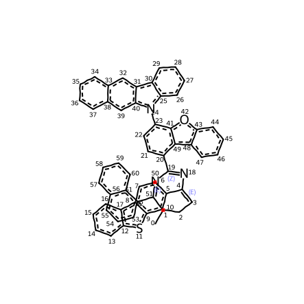 CC1C/C=C(c2ccc3c(c2)sc2ccccc23)/N=C(c2ccc(-n3c4ccccc4c4cc5ccccc5cc43)c3oc4ccccc4c23)\N=C/1c1cccc2ccccc12